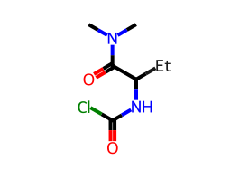 CCC(NC(=O)Cl)C(=O)N(C)C